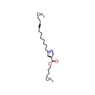 CCCC#CCCCCCCCn1cc(C(=O)OCCCCC)cn1